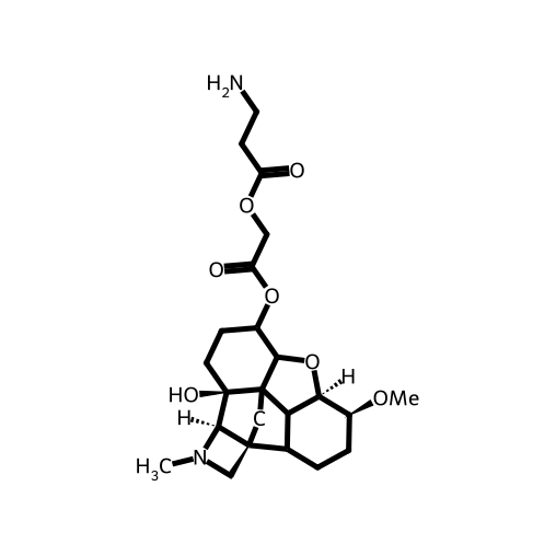 CO[C@H]1CCC2C3[C@H]1OC1C(OC(=O)COC(=O)CCN)CC[C@@]4(O)[C@@H]5N(C)C[C@@]25CC134